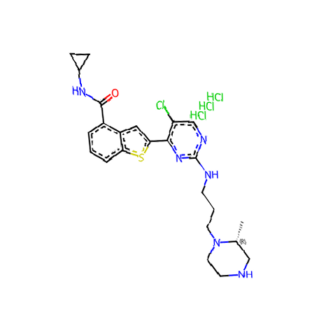 C[C@@H]1CNCCN1CCCNc1ncc(Cl)c(-c2cc3c(C(=O)NC4CC4)cccc3s2)n1.Cl.Cl.Cl